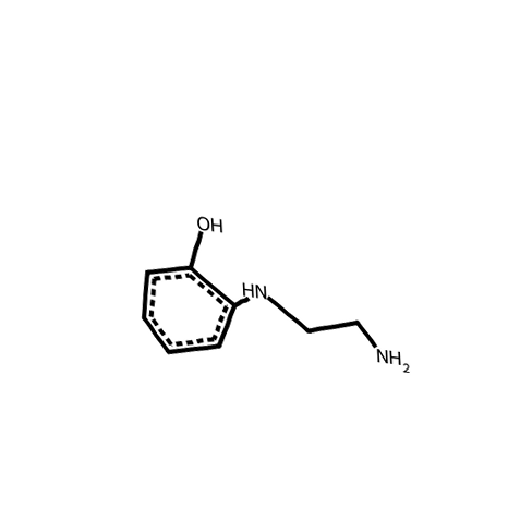 NCCNc1ccccc1O